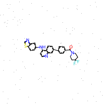 O=C(c1ccc(-c2ccc3c(Nc4ccc5scnc5c4)ccnc3c2)cc1)N1CCC(F)(F)CC1